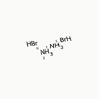 Br.Br.N.N